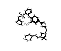 CC1(C)CN(Cc2nc(-c3ccc(Oc4ccccc4S(=O)(=O)CC4CCOC4)c(C(F)(F)F)c3)no2)CN1CCN1CCOCC1